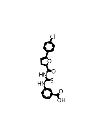 O=C(O)c1cccc(NC(=S)NC(=O)C2CC=C(c3ccc(Cl)cc3)O2)c1